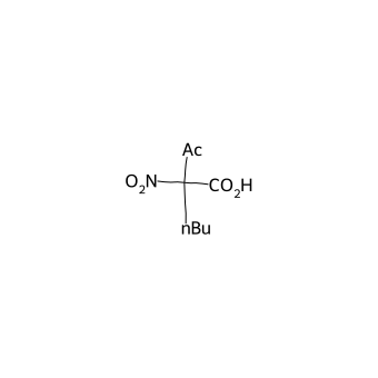 CCCCC(C(C)=O)(C(=O)O)[N+](=O)[O-]